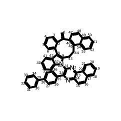 C=C1c2ccccc2-c2c(n(-c3nc4c(ccc5ccccc54)nc3-c3ccc(-c4ccccc4)cc3)c3ccccc23)CCc2c1ccc1ccccc21